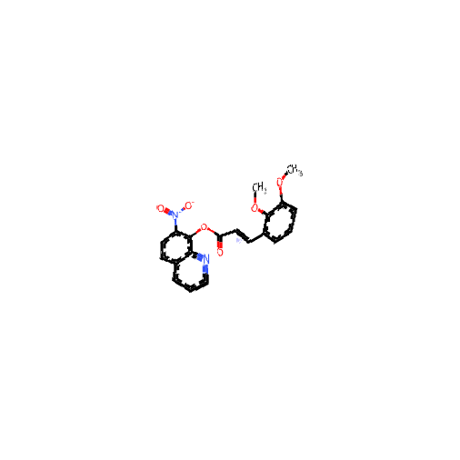 COc1cccc(/C=C/C(=O)Oc2c([N+](=O)[O-])ccc3cccnc23)c1OC